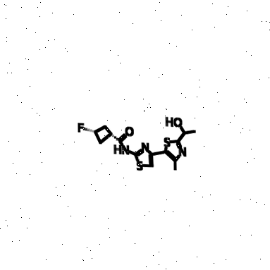 Cc1nc(C(C)O)sc1-c1csc(NC(=O)[C@H]2C[C@@H](F)C2)n1